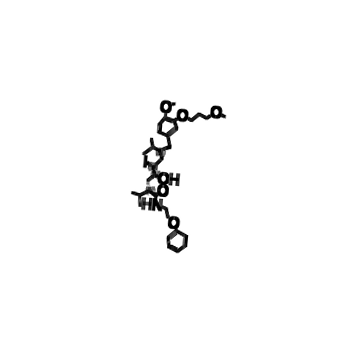 COCCCOc1cc(C[C@@H](C[C@H](I)[C@@H](O)C[C@H](C(=O)NCCOc2ccccc2)C(C)C)C(C)C)ccc1OC